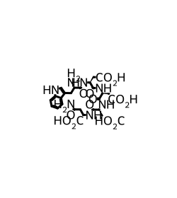 NC(=O)C[C@H](NC(=O)[C@H](CC(=O)O)NC(=O)[C@H](CC(=O)O)NC(=O)[C@H](CC(=O)O)NC(=O)[C@@H](N)Cc1c[nH]c2ccccc12)C(=O)O